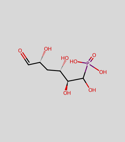 O=C[C@H](O)C[C@H](O)[C@H](O)C(O)P(=O)(O)O